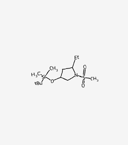 CCC1CC(O[Si](C)(C)C(C)(C)C)CN1S(C)(=O)=O